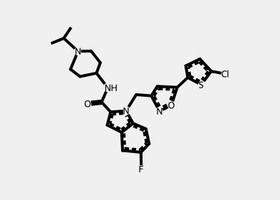 CC(C)N1CCC(NC(=O)c2cc3cc(F)ccc3n2Cc2cc(-c3ccc(Cl)s3)on2)CC1